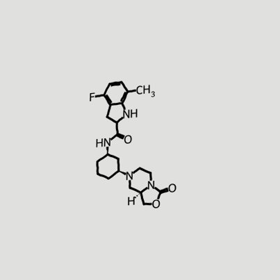 Cc1ccc(F)c2c1NC(C(=O)N[C@@H]1CCC[C@H](N3CCN4C(=O)OC[C@H]4C3)C1)C2